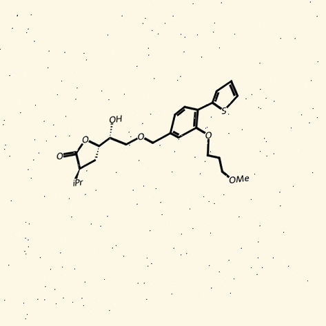 COCCCOc1cc(COC[C@@H](O)[C@@H]2C[C@@H](C(C)C)C(=O)O2)ccc1-c1cccs1